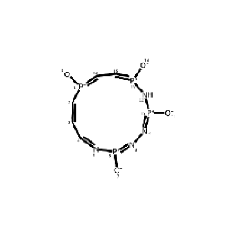 [O-][p+]1cccn[p+]([O-])nn[p+]([O-])[nH][p+]([O-])cc1